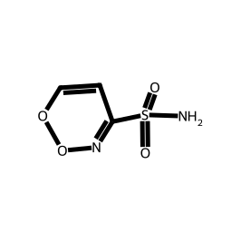 NS(=O)(=O)C1=NOOC=C1